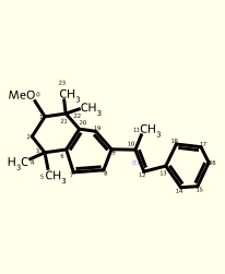 COC1CC(C)(C)c2ccc(/C(C)=C/c3ccccc3)cc2C1(C)C